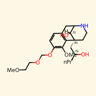 CCC[C@H](O)C[C@]12CCNC(Cc3ccc(OCOCCOC)c(OC)c31)[C@H]2O